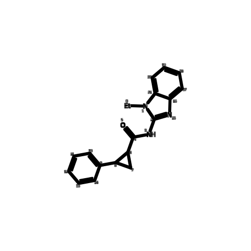 CCn1c(NC(=O)C2CC2c2ccccc2)nc2ccccc21